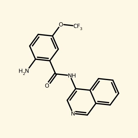 Nc1ccc(OC(F)(F)F)cc1C(=O)Nc1cncc2ccccc12